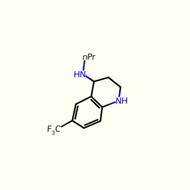 CCCNC1CCNc2ccc(C(F)(F)F)cc21